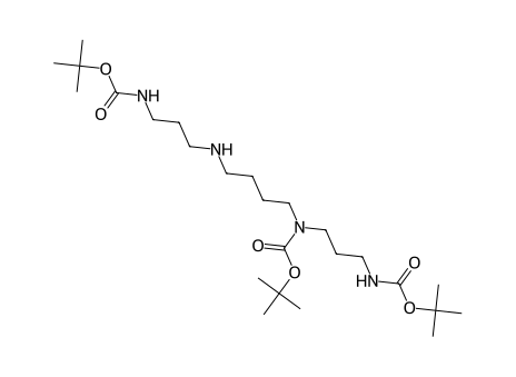 CC(C)(C)OC(=O)NCCCNCCCCN(CCCNC(=O)OC(C)(C)C)C(=O)OC(C)(C)C